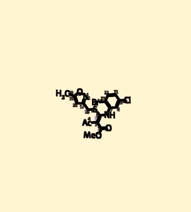 COC(=O)/C(C(C)=O)=C(\Nc1cc(Cl)ccc1Br)SCc1cc(C)on1